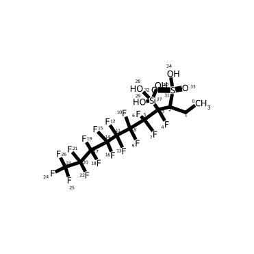 CCC(C(F)(C(F)(F)C(F)(F)C(F)(F)C(F)(F)C(F)(F)C(F)(F)C(F)(F)F)[Si](O)(O)O)S(=O)(=O)O